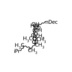 CCCCCCCCCCCCCCCC(=O)NC(CO)(CO)COCC(=O)Oc1c(C)c(C)c2c(c1C)CCC(C)(CCCC(C)CCCC(C)CCCC(C)C)O2